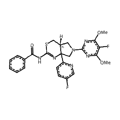 COc1nc(N2C[C@H]3CSC(NC(=O)c4ccccc4)=NC3(c3ccc(F)cn3)C2)nc(OC)c1F